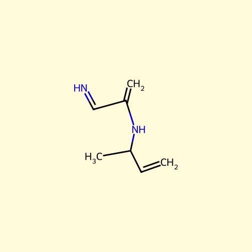 C=CC(C)NC(=C)C=N